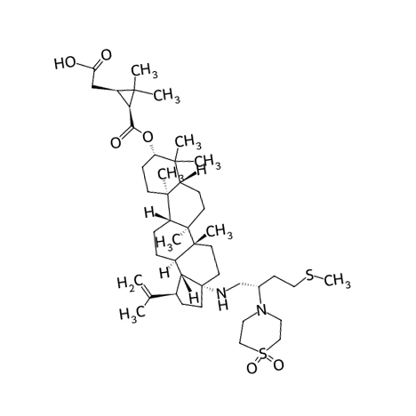 C=C(C)[C@@H]1CC[C@]2(NC[C@H](CCSC)N3CCS(=O)(=O)CC3)CC[C@]3(C)[C@H](CC[C@@H]4[C@@]5(C)CC[C@H](OC(=O)[C@H]6[C@@H](CC(=O)O)C6(C)C)C(C)(C)[C@@H]5CC[C@]43C)[C@@H]12